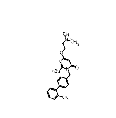 CCCCc1nc(OCCN(C)C)cc(=O)n1Cc1ccc(-c2ccccc2C#N)cc1